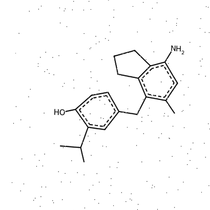 Cc1cc(N)c2c(c1Cc1ccc(O)c(C(C)C)c1)CCC2